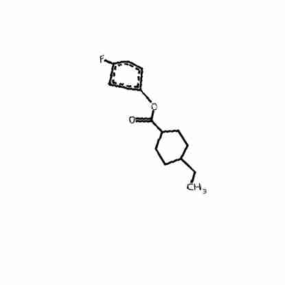 CCC1CCC(C(=O)Oc2ccc(F)cc2)CC1